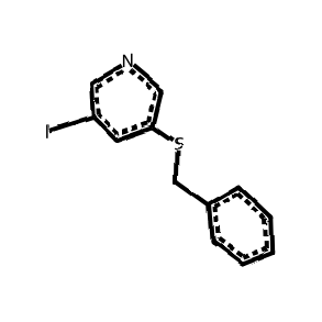 Ic1cncc(SCc2ccccc2)c1